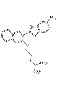 Nc1ccc2oc(-c3cc4ccccc4cc3OCCCC(C(=O)O)C(=O)O)nc2c1